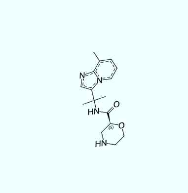 Cc1cccn2c(C(C)(C)NC(=O)[C@@H]3CNCCO3)cnc12